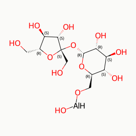 OC[C@H]1O[C@@](CO)(O[C@H]2O[C@H](C[O][AlH][OH])[C@@H](O)[C@H](O)[C@H]2O)[C@@H](O)[C@@H]1O